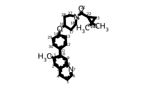 Cc1cc2cccnc2cc1-c1ccc(OC2CCN(C(=O)C3CC3(C)C)CC2)cc1